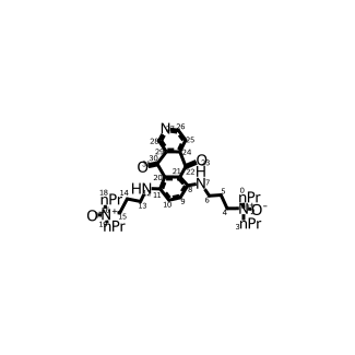 CCC[N+]([O-])(CCC)CCCNc1ccc(NCCC[N+]([O-])(CCC)CCC)c2c1C(=O)c1ccncc1C2=O